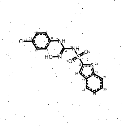 O=S(=O)(NC(=NO)Nc1ccc(Cl)cc1)c1cc2ccccc2s1